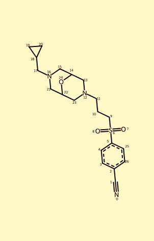 N#Cc1ccc(S(=O)(=O)CCCN2CC3CN(CC4CC4)CC(C2)O3)cc1